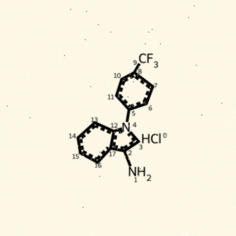 Cl.Nc1cn(-c2ccc(C(F)(F)F)cc2)c2ccccc12